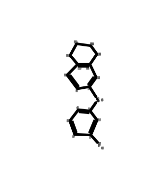 Fc1cccc(Sc2ccc3c(c2)CCC[CH]3)c1